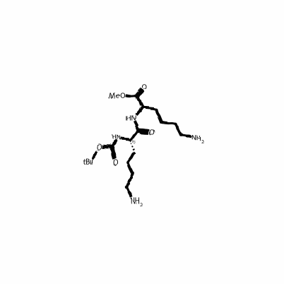 COC(=O)C(CCCCN)NC(=O)[C@H](CCCCN)NC(=O)OC(C)(C)C